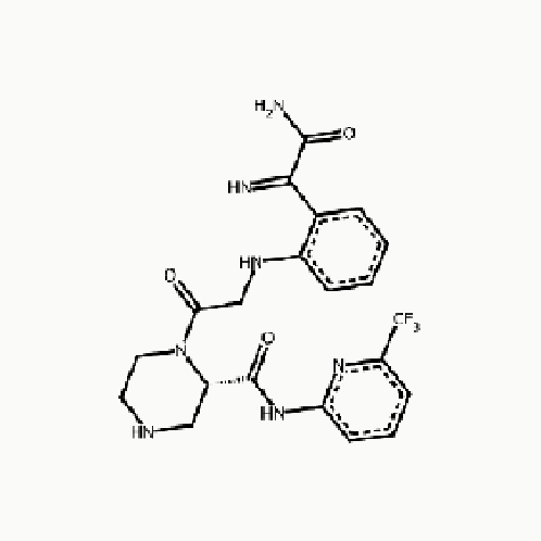 N=C(C(N)=O)c1ccccc1NCC(=O)N1CCNC[C@H]1C(=O)Nc1cccc(C(F)(F)F)n1